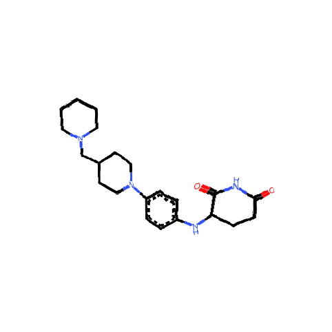 O=C1CCC(Nc2ccc(N3CCC(CN4CCCCC4)CC3)cc2)C(=O)N1